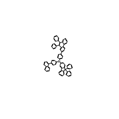 c1ccc(-c2c(-c3ccccc3)c3cc(-c4ccc(N(c5ccc(-c6cccc7ccccc67)cc5)c5ccc6c(c5)-c5ccccc5C6(c5ccccc5)c5ccccc5)cc4)ccc3c3ccccc23)cc1